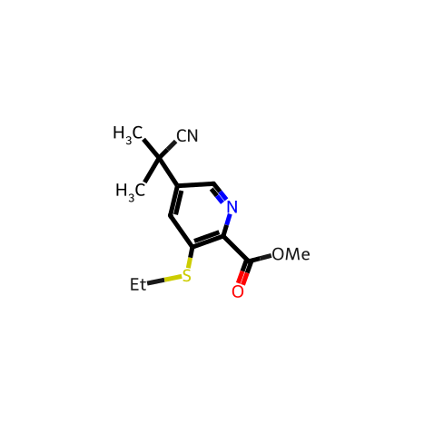 CCSc1cc(C(C)(C)C#N)cnc1C(=O)OC